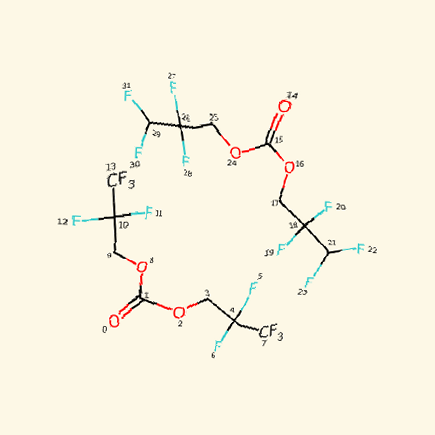 O=C(OCC(F)(F)C(F)(F)F)OCC(F)(F)C(F)(F)F.O=C(OCC(F)(F)C(F)F)OCC(F)(F)C(F)F